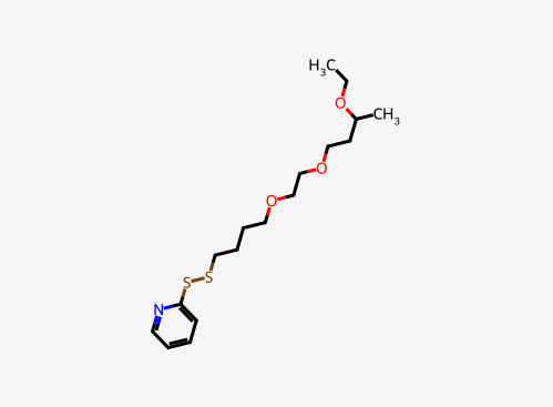 CCOC(C)CCOCCOCCCCSSc1ccccn1